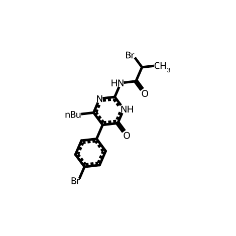 CCCCc1nc(NC(=O)C(C)Br)[nH]c(=O)c1-c1ccc(Br)cc1